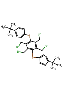 CC(C)(C)c1ccc(Sc2c(CBr)c(CBr)c(Sc3ccc(C(C)(C)C)cc3)c(CBr)c2CBr)cc1